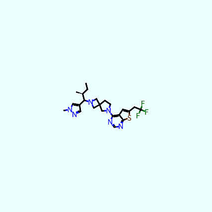 CC[C@H](C)C(c1cnn(C)c1)N1CC2(CCN(c3ncnc4sc(CC(F)(F)F)cc34)C2)C1